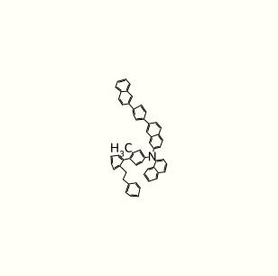 Cc1cc(N(c2ccc3ccc(-c4ccc(-c5ccc6ccccc6c5)cc4)cc3c2)c2cccc3ccccc23)ccc1-c1ccccc1CCc1ccccc1